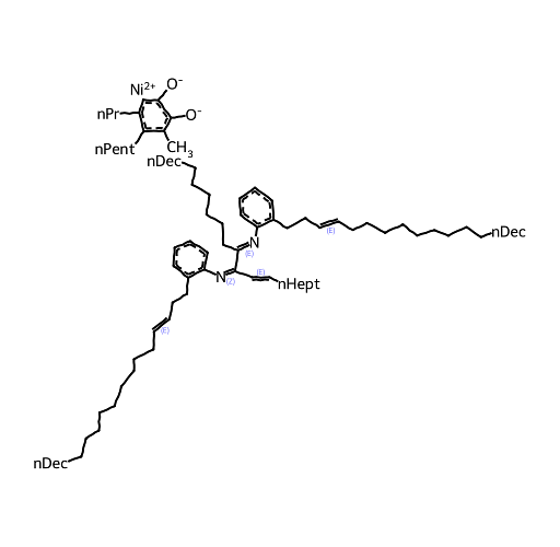 CCCCCCC/C=C/C(=N/c1ccccc1CC/C=C/CCCCCCCCCCCCCCCCCCC)C(/CCCCCCCCCCCCCCCC)=N/c1ccccc1CC/C=C/CCCCCCCCCCCCCCCCCCC.CCCCCc1c(CCC)cc([O-])c([O-])c1C.[Ni+2]